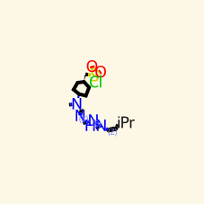 CC(C)/C=C\N/C=N/C=N\CN(C)[C@H]1CC[C@H](CS(=O)(=O)Cl)CC1